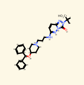 CC(C)(C(=O)O)n1nc2ccc(NCCCN3CCC(OC(c4ccccc4)c4ccccc4)CC3)nn2c1=O